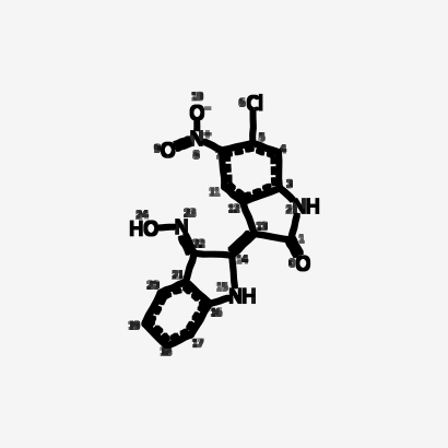 O=C1Nc2cc(Cl)c([N+](=O)[O-])cc2/C1=C1/Nc2ccccc2/C1=N\O